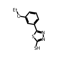 CCOc1cccc(-c2nnc(S)s2)c1